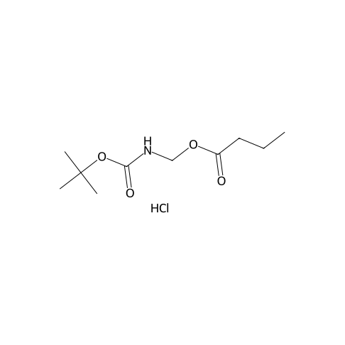 CCCC(=O)OCNC(=O)OC(C)(C)C.Cl